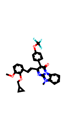 COc1cccc(C=Cc2nc3n(C)c4ccccc4n3c(=O)c2-c2ccc(OC(F)(F)F)cc2)c1OCC1CC1